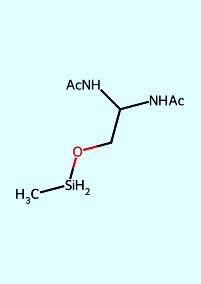 C[SiH2]OCC(NC(C)=O)NC(C)=O